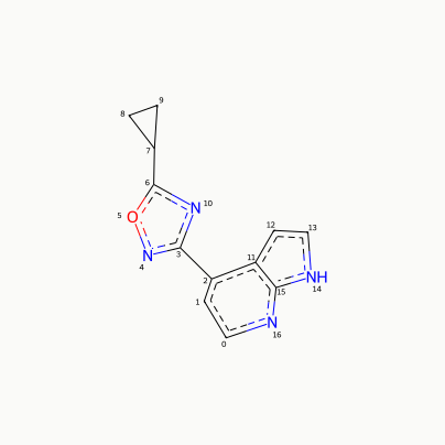 c1cc(-c2noc(C3CC3)n2)c2cc[nH]c2n1